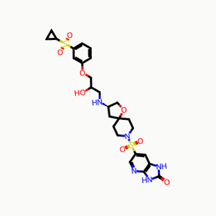 O=c1[nH]c2cc(S(=O)(=O)N3CCC4(CC3)C[C@@H](NCC(O)COc3cccc(S(=O)(=O)C5CC5)c3)CO4)cnc2[nH]1